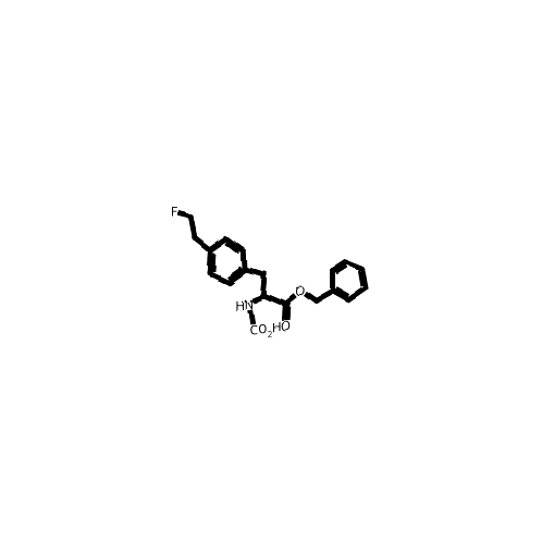 O=C(O)NC(Cc1ccc(CCF)cc1)C(=O)OCc1ccccc1